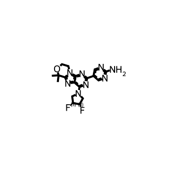 CC1(C)OCCn2c1nc1c(N3C[C@@H](F)[C@@H](F)C3)nc(-c3cnc(N)nc3)nc12